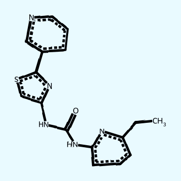 CCc1cccc(NC(=O)Nc2csc(-c3cccnc3)n2)n1